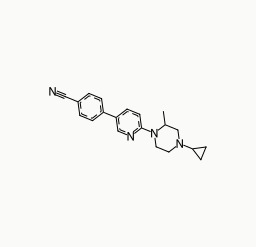 CC1CN(C2CC2)CCN1c1ccc(-c2ccc(C#N)cc2)cn1